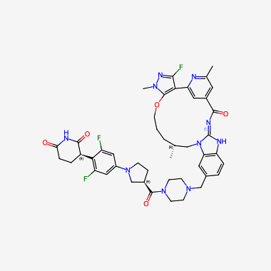 Cc1cc2cc(n1)-c1c(F)nn(C)c1OCCC[C@@H](C)CN1/C(=N/C2=O)Nc2ccc(CN3CCN(C(=O)[C@@H]4CCN(c5cc(F)c([C@H]6CCC(=O)NC6=O)c(F)c5)C4)CC3)cc21